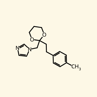 Cc1ccc(CCC2(Cn3ccnc3)OCCCO2)cc1